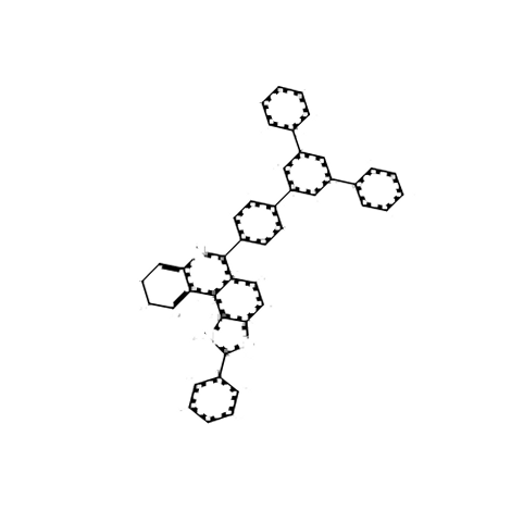 C1=c2nc(-c3ccc(-c4cc(-c5ccccc5)cc(-c5ccccc5)c4)cc3)c3ccc4oc(-c5ccccc5)nc4c3c2=CCC1